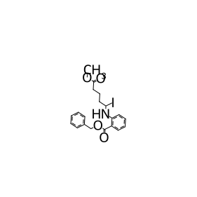 COC(=O)CCCC(I)Nc1ccccc1C(=O)OCc1ccccc1